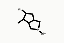 CCCN1CC2CC(C(C)C)C(C)C2C1